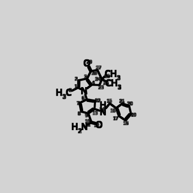 Cc1cc2c(n1-c1ccc(C(N)=O)c(NCc3ccccc3)c1)CC(C)(C)CC2=O